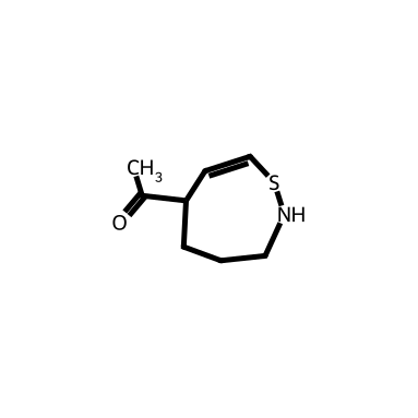 CC(=O)C1C=CSNCCC1